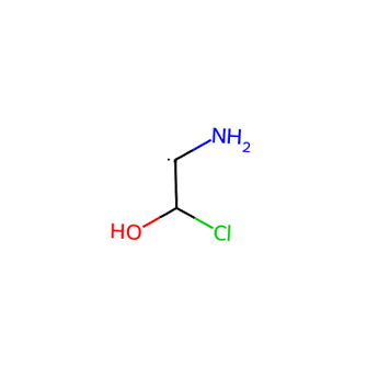 N[CH]C(O)Cl